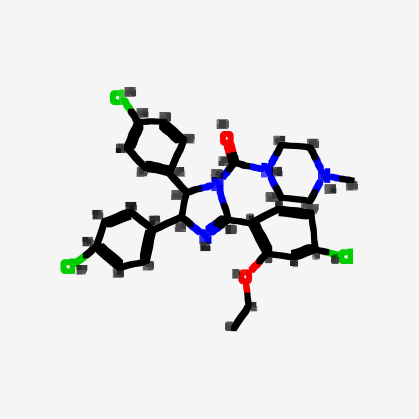 CCOc1cc(Cl)ccc1C1=NC(c2ccc(Cl)cc2)C(c2ccc(Cl)cc2)N1C(=O)N1CCN(C)CC1